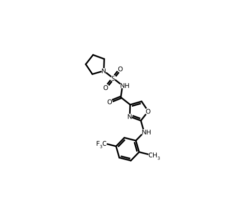 Cc1ccc(C(F)(F)F)cc1Nc1nc(C(=O)NS(=O)(=O)N2CCCC2)co1